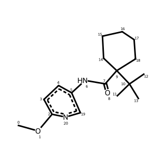 COc1ccc(NC(=O)C2(C(C)(C)C)CCCCC2)cn1